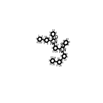 c1ccc(-c2ccc(-c3nc(-c4cccc(-c5nc(-c6cccc(-c7cccc(-c8ccccc8)c7)c6)nc6c5sc5ccccc56)c4)nc4oc5ccccc5c34)cc2)cc1